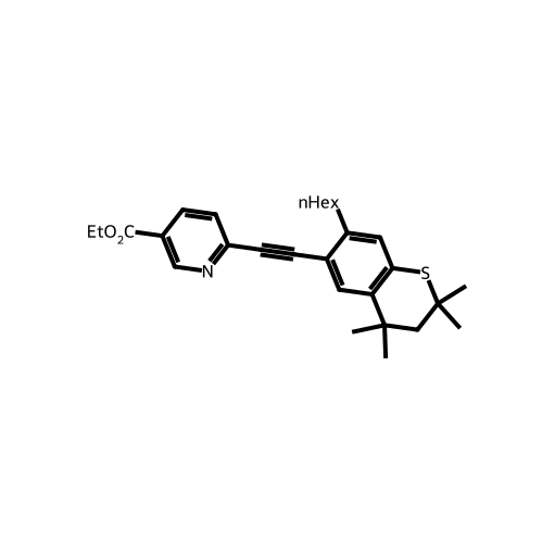 CCCCCCc1cc2c(cc1C#Cc1ccc(C(=O)OCC)cn1)C(C)(C)CC(C)(C)S2